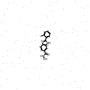 Cc1ccccc1-c1nc2ccc(C(=O)NO)cc2[nH]1